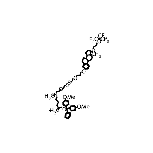 [CH2]C(CCCCN(C)CCOCCSSCCOCCCOc1ccc2c(c1)CCC1C2CC[C@@]2(C)C1CC[C@@H]2OCCCOC(C(F)(F)F)(C(F)(F)F)C(F)(F)F)COC(c1ccccc1)(c1ccc(OC)cc1)c1ccc(OC)cc1